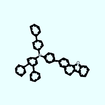 c1ccc(-c2ccc(N(c3ccc(-c4ccc5c(ccc6c7ccccc7oc56)c4)cc3)c3ccc(-c4ccccc4)c(-c4ccccc4)c3)cc2)cc1